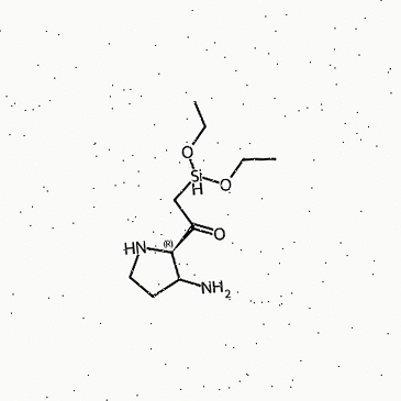 CCO[SiH](CC(=O)[C@@H]1NCCC1N)OCC